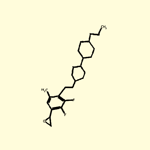 CCCC1CCC(C2CCC(CCc3c(C)cc(C4CO4)c(F)c3F)CC2)CC1